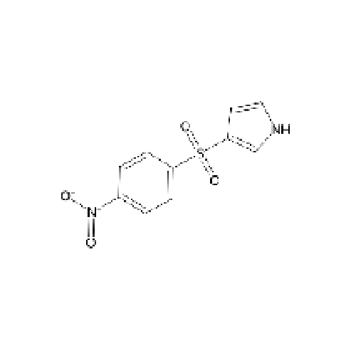 O=[N+]([O-])c1ccc(S(=O)(=O)c2cc[nH]c2)cc1